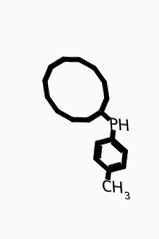 Cc1ccc(PC2CCCCCCCCCCC2)cc1